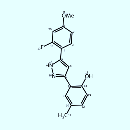 COc1ccc(-c2cc(-c3cc(C)ccc3O)n[nH]2)c(F)c1